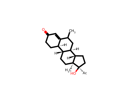 CC(=O)[C@@]1(O)CC[C@H]2[C@@H]3CC(C)C4=CC(=O)CC[C@@H]4[C@H]3CC[C@@]21C